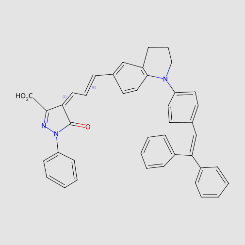 O=C(O)C1=NN(c2ccccc2)C(=O)/C1=C\C=C\c1ccc2c(c1)CCCN2c1ccc(C=C(c2ccccc2)c2ccccc2)cc1